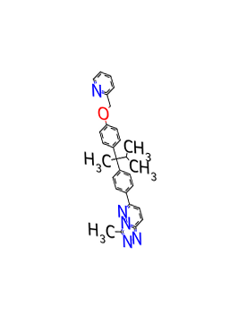 Cc1nnc2ccc(-c3ccc(C(C)(c4ccc(OCc5ccccn5)cc4)C(C)C)cc3)nn12